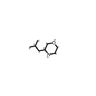 CC(C)CC1COCC[N]1